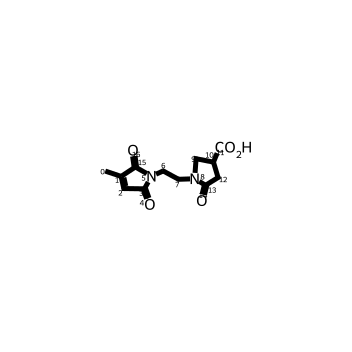 CC1=CC(=O)N(CCN2CC(C(=O)O)CC2=O)C1=O